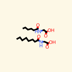 CCCCCC(=O)NCC(=O)O.CCCCCCCC(=O)NCC(=O)O